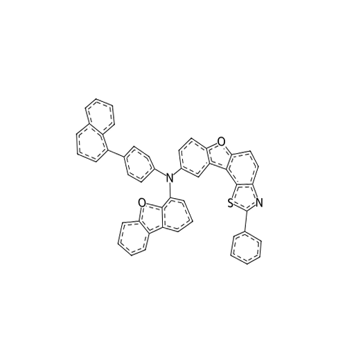 c1ccc(-c2nc3ccc4oc5ccc(N(c6ccc(-c7cccc8ccccc78)cc6)c6cccc7c6oc6ccccc67)cc5c4c3s2)cc1